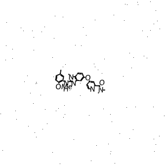 COc1ccc(C)cc1Nc1nc2cc(Oc3ccnc(C(=O)N(C)C)c3)ccc2n1C